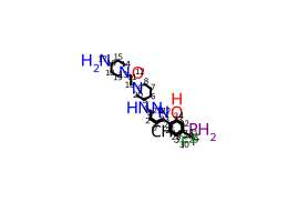 Cc1cc(NC2CCCN(CC(=O)N3CCC(N)CC3)C2)nnc1-c1ccc(C(F)(F)P)cc1O